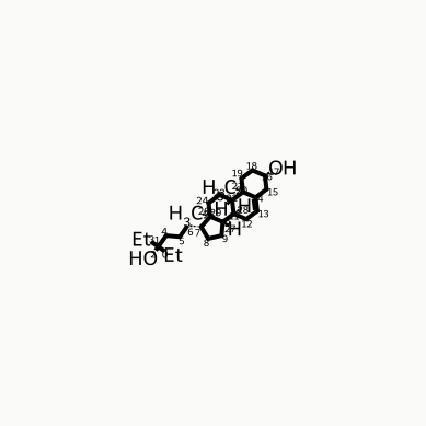 CCC(O)(CC)CCC[C@H]1CC[C@H]2[C@@H]3CC=C4C[C@@H](O)CC[C@]4(C)[C@H]3CC[C@]12C